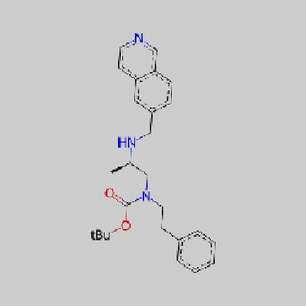 C[C@H](CN(CCc1ccccc1)C(=O)OC(C)(C)C)NCc1ccc2cnccc2c1